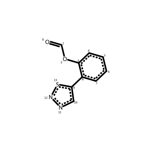 O=COc1ccccc1-c1cnns1